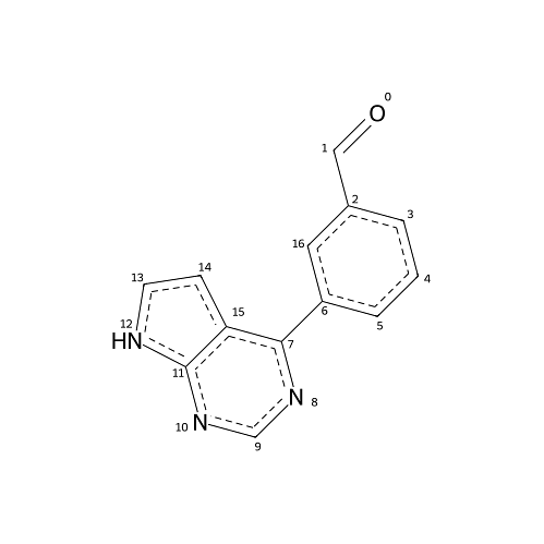 O=Cc1cccc(-c2ncnc3[nH]ccc23)c1